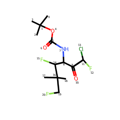 CC(C)(C)OC(=O)NC(C(=O)C(F)Cl)C(F)C(C)(C)CF